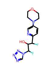 OC(C(F)c1ccc(N2CCOCC2)cn1)C(F)n1cnnn1